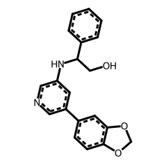 OCC(Nc1cncc(-c2ccc3c(c2)OCO3)c1)c1ccccc1